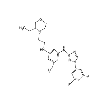 CCC1COCCN1CCNc1cc(C)cc(Nc2ncn(-c3cc(F)cc(F)c3)n2)c1